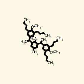 C=C(c1cc(CCCC)c(OC)c(CCCC)c1)c1cc(C)cc(C(=C)c2cc(CCCC)c(OC)c(CCCC)c2)c1N